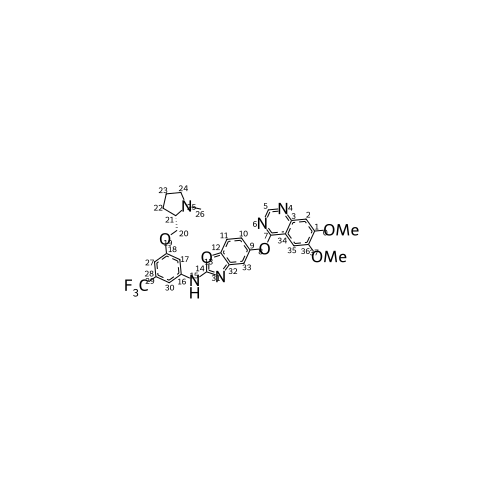 COc1cc2ncnc(Oc3ccc4oc(Nc5cc(OC[C@@H]6CCCN6C)cc(C(F)(F)F)c5)nc4c3)c2cc1OC